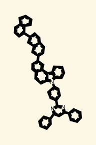 c1ccc(-c2cc(-c3ccccc3)nc(-c3ccc(-n4c5ccccc5c5c6cc(-c7ccc8ccc(-c9cccc%10ccccc9%10)cc8c7)ccc6ccc54)cc3)n2)cc1